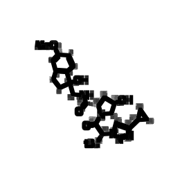 COc1ccc2c(c1)CCC2(O)CNC(=O)[C@@H]1C[C@@H](O)CN1C(=O)[C@@H](n1cc(C2CC2)nn1)C(C)(C)C